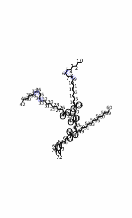 CCCCC/C=C\C/C=C\CCCCCCCC(=O)OCC(COC(=O)CCCCCCC/C=C\C/C=C\CCCCC)OC(=O)CCC(CCCCCCCCCCCC)OC(=O)OCCCN1C=CN(C)C1